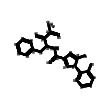 Cc1cccnc1-n1nc(C(=O)NC(Cc2ccccc2)C(=O)C(N)=O)cc1C